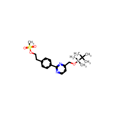 CC(C)(C)[Si](C)(C)OCc1ccnc(-c2ccc(CCOS(C)(=O)=O)cc2)n1